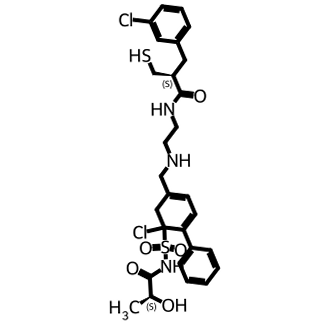 C[C@H](O)C(=O)NS(=O)(=O)C1(Cl)CC(CNCCNC(=O)[C@@H](CS)Cc2cccc(Cl)c2)=CC=C1c1ccccc1